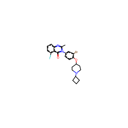 Cc1nc2cccc(F)c2c(=O)n1-c1ccc(OC2CCN(C3CCC3)CC2)c(Br)c1